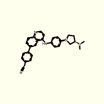 CN(C)[C@@H]1CCN(c2ccc(Nc3ccnc4ccc(-c5ccc(C#N)cc5)cc34)cc2)C1